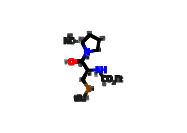 CCOC(=O)N[C@@H](CSC(C)(C)C)C(=O)N1CCC[C@H]1C#N